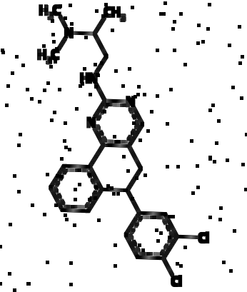 CC(CNc1ncc2c(n1)-c1ccccc1C(c1ccc(Cl)c(Cl)c1)C2)N(C)C